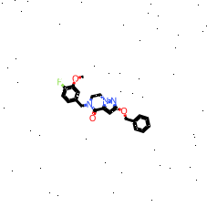 COc1cc(CN2CCn3nc(OCc4ccccc4)cc3C2=O)ccc1F